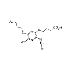 CC(=O)CCCOc1cc(OCCCC(=O)O)c(N=[N+]=[N-])cc1C(C)C